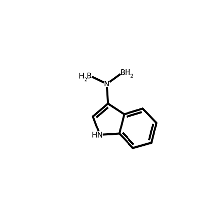 BN(B)c1c[nH]c2ccccc12